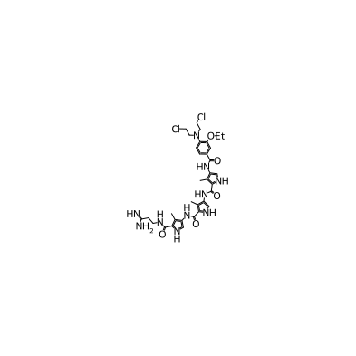 CCOc1cc(C(=O)Nc2c[nH]c(C(=O)Nc3c[nH]c(C(=O)Nc4c[nH]c(C(=O)NCCC(=N)N)c4C)c3C)c2C)ccc1N(CCCl)CCCl